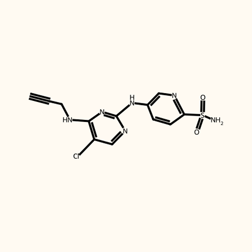 C#CCNc1nc(Nc2ccc(S(N)(=O)=O)nc2)ncc1Cl